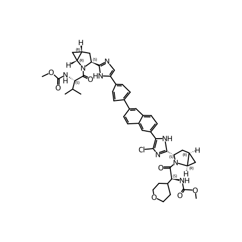 COC(=O)N[C@H](C(=O)N1[C@@H]2C[C@@H]2C[C@H]1c1ncc(-c2ccc(-c3ccc4cc(-c5[nH]c([C@@H]6C[C@H]7C[C@H]7N6C(=O)[C@@H](NC(=O)OC)C6CCOCC6)nc5Cl)ccc4c3)cc2)[nH]1)C(C)C